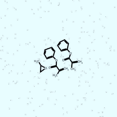 C=C(C)C(=O)Oc1ccccc1.C=C(C)C(=O)Oc1ccccc1.CC1CO1